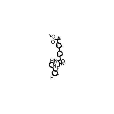 CCOC(=O)C1(c2ccc(-c3ccc(-c4onc(C)c4Nc4cccc(-c5cc(F)ccc5F)n4)cc3)cc2)CC1